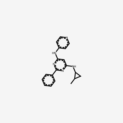 CC1CC1Nc1cc(Nc2ccncc2)nc(-c2ccccc2)n1